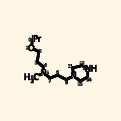 CC(C)OCCCN(C)CCCN1CCNCC1